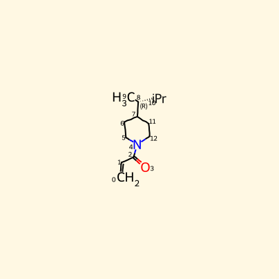 C=CC(=O)N1CCC([C@H](C)C(C)C)CC1